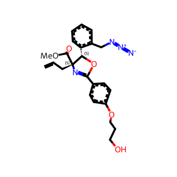 C=CC[C@]1(C(=O)OC)N=C(c2ccc(OCCCO)cc2)O[C@H]1c1ccccc1CN=[N+]=[N-]